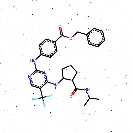 CC(C)NC(=O)C1CCCC1Nc1nc(Nc2ccc(C(=O)OCc3ccccc3)cc2)ncc1C(F)(F)F